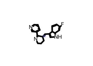 FC1=CC2NC=C(/C=C3\CCCN=C3c3cccnc3)C2C=C1